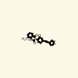 Cc1cccc2c(=O)n(-c3ccc(C#Cc4ccccc4)cc3Cl)c(=O)[nH]c12